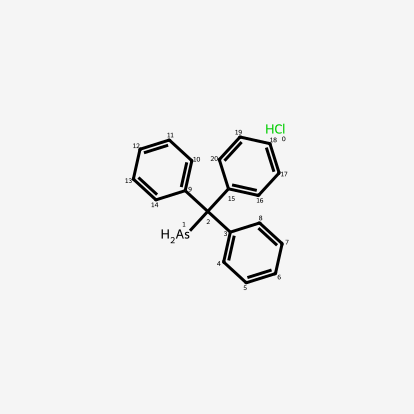 Cl.[AsH2]C(c1ccccc1)(c1ccccc1)c1ccccc1